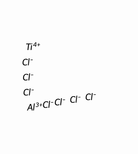 [Al+3].[Cl-].[Cl-].[Cl-].[Cl-].[Cl-].[Cl-].[Cl-].[Ti+4]